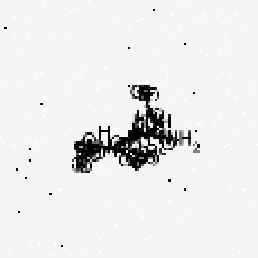 CC(C)C(NC(=O)CCCCCN1C(=O)C=CC1=O)C(=O)N[C@@H](CCCNC(N)=O)C(=O)Nc1ccc(COC(=O)N(CCCNC(=O)CN2C(=O)c3cccc4cc([N+](=O)[O-])cc(c34)C2=O)CCN2C(=O)c3cccc4cc([N+](=O)[O-])cc(c34)C2=O)cc1